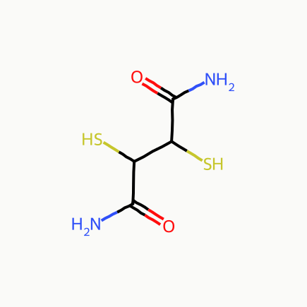 NC(=O)C(S)C(S)C(N)=O